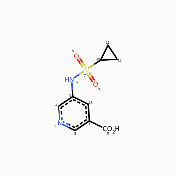 O=C(O)c1cncc(NS(=O)(=O)C2CC2)c1